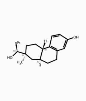 CCC[C@H](O)[C@@]1(C)CC[C@@H]2c3ccc(O)cc3CC[C@H]2C1